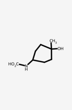 CC1(O)CCC(NC(=O)O)CC1